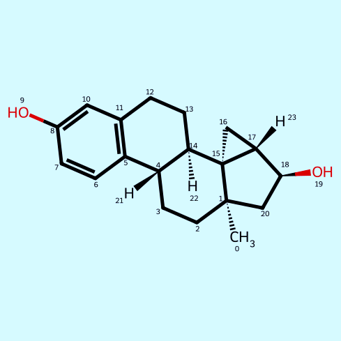 C[C@]12CC[C@@H]3c4ccc(O)cc4CC[C@H]3[C@]13C[C@@H]3[C@@H](O)C2